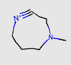 CN1CC#[N+]CCC1